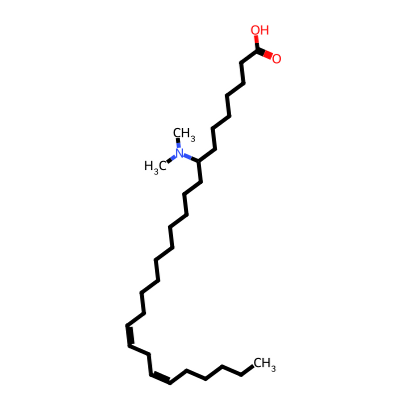 CCCCC/C=C\C/C=C\CCCCCCCCCC(CCCCCCC(=O)O)N(C)C